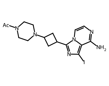 CC(=O)N1CCN(C2CC(c3nc(I)c4c(N)nccn34)C2)CC1